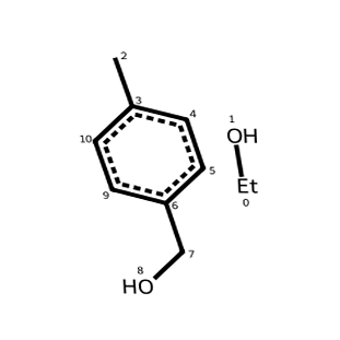 CCO.Cc1ccc(CO)cc1